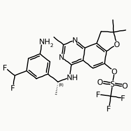 Cc1nc(N[C@H](C)c2cc(N)cc(C(F)F)c2)c2cc(OS(=O)(=O)C(F)(F)F)c3c(c2n1)CC(C)(C)O3